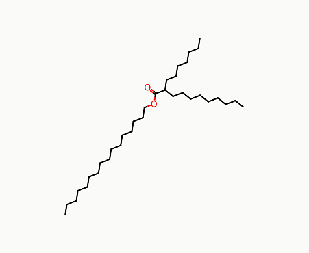 CCCCCCCCCCCCCCCCOC(=O)C(CCCCCCC)CCCCCCCCC